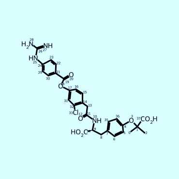 CC(C)(Oc1ccc(C[C@H](NC(=O)Cc2ccc(OC(=O)c3ccc(NC(=N)N)cc3)cc2Cl)C(=O)O)cc1)C(=O)O